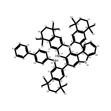 Cc1cc2c(cc1N1c3cc4c(cc3Bc3c(-c5cc6c(cc5Nc5ccc(-c7ccccc7)cc5)C(C)(C)CCC6(C)C)cc5sc6ccccc6c5c31)C(C)(C)CCC4(C)C)C(C)(C)CCC2(C)C